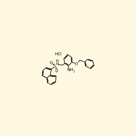 Cl.Nc1c(CNS(=O)(=O)c2cccc3ccccc23)cccc1OCc1ccccc1